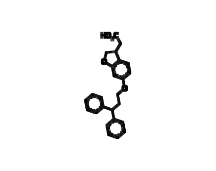 O=C(O)CC1COc2cc(OCCC(c3ccccc3)c3ccccc3)ccc21